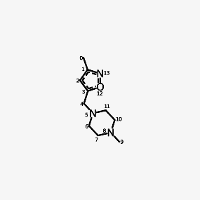 Cc1cc(CN2CCN(C)CC2)on1